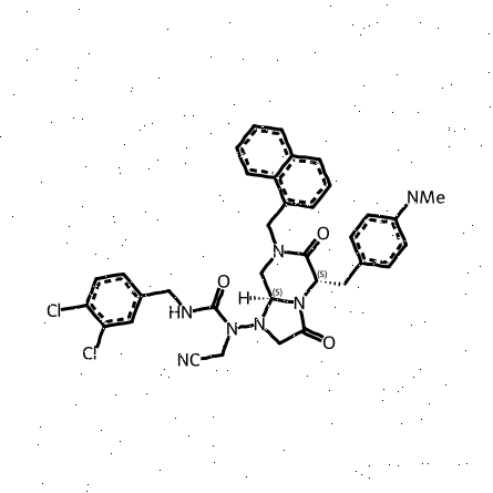 CNc1ccc(C[C@H]2C(=O)N(Cc3cccc4ccccc34)C[C@H]3N2C(=O)CN3N(CC#N)C(=O)NCc2ccc(Cl)c(Cl)c2)cc1